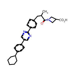 CC(Cc1ccc(-c2ncc(-c3ccc(C4CCCCC4)cc3)cn2)cc1)C(=O)N1CC(C(=O)O)C1